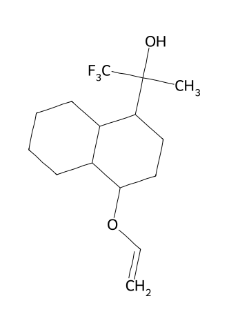 C=COC1CCC(C(C)(O)C(F)(F)F)C2CCCCC12